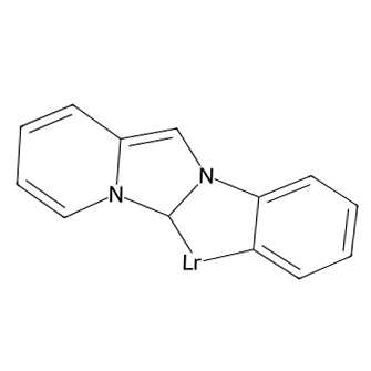 C1=CC2=CN3c4cccc[c]4[Lr][CH]3N2C=C1